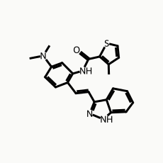 Cc1ccsc1C(=O)Nc1cc(N(C)C)ccc1/C=C/c1n[nH]c2ccccc12